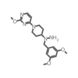 COc1cc(CN(N)C2CCN(c3ccnc(OC)n3)CC2)cc(OC)c1